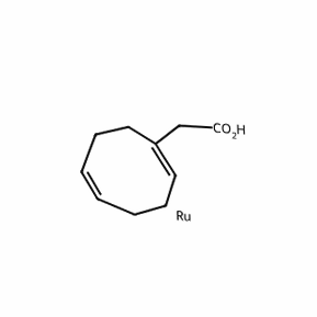 O=C(O)CC1=CCCC=CCC1.[Ru]